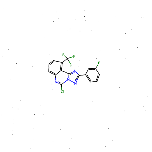 Fc1cccc(-c2nc3c4c(C(F)(F)F)cccc4nc(Cl)n3n2)c1